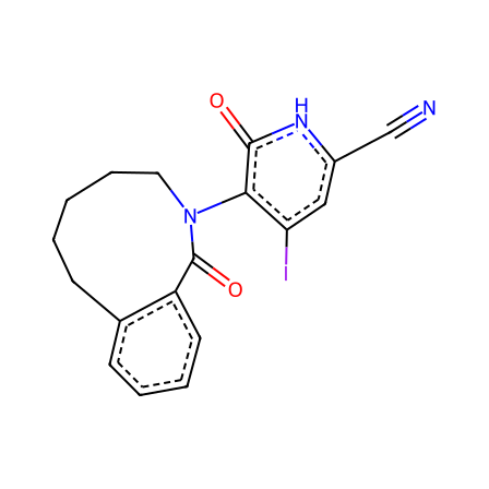 N#Cc1cc(I)c(N2CCCCCc3ccccc3C2=O)c(=O)[nH]1